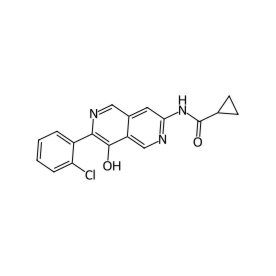 O=C(Nc1cc2cnc(-c3ccccc3Cl)c(O)c2cn1)C1CC1